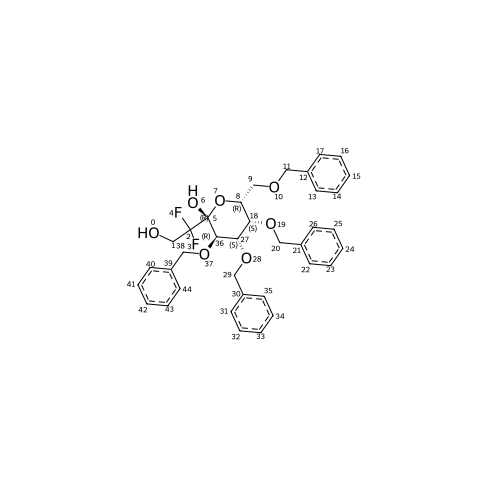 OCC(F)(F)[C@]1(O)O[C@H](COCc2ccccc2)[C@H](OCc2ccccc2)[C@H](OCc2ccccc2)[C@H]1OCc1ccccc1